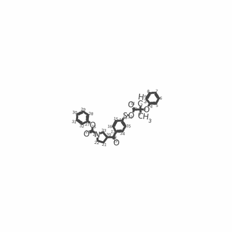 CC(C)(Oc1ccccc1)C(=O)OSc1ccc(C(=O)C2CCN(C(=O)Oc3ccccc3)C2)cc1